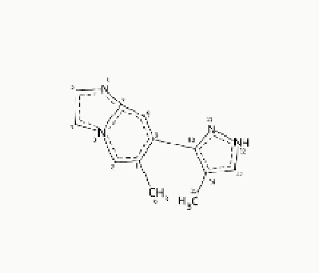 Cc1cn2ccnc2[c]c1-c1n[nH]cc1C